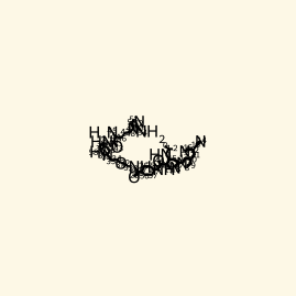 CC(C)Nc1cc(-n2ccc3cc(C#N)cnc32)ncc1C(=O)NC1CCC(C(=O)NCCOCCN2C[C@@H]3C[C@]3(NC(=O)[C@@H](N)CCCn3ccnc3N)C2)CC1